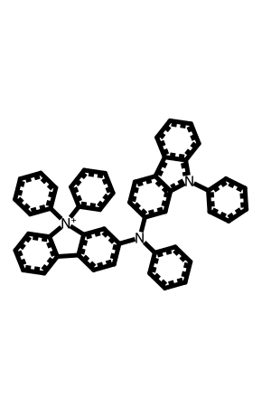 c1ccc(N(c2ccc3c(c2)[N+](c2ccccc2)(c2ccccc2)c2ccccc2-3)c2ccc3c4ccccc4n(-c4ccccc4)c3c2)cc1